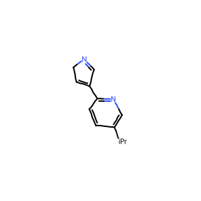 CC(C)c1ccc(C2=CCN=C2)nc1